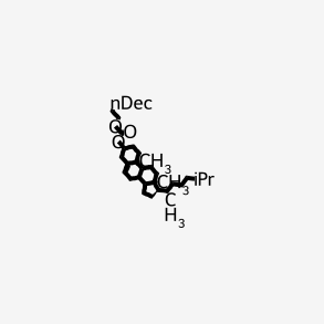 CCCCCCCCCCCCOC(=O)OC1CC[C@@]2(C)C(=CCC3C2CC[C@@]2(C)C3CC[C@@H]2[C@H](C)CCCC(C)C)C1